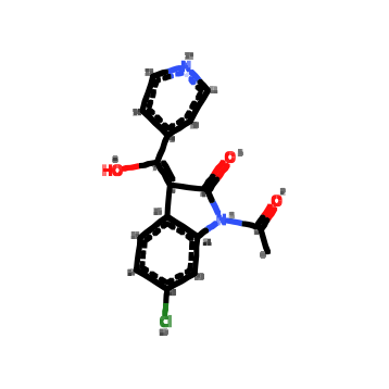 CC(=O)N1C(=O)C(=C(O)c2ccncc2)c2ccc(Cl)cc21